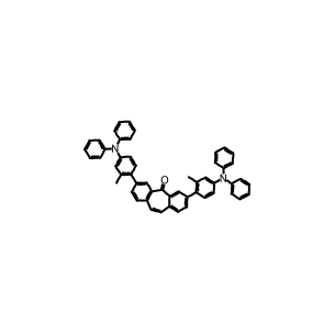 Cc1cc(N(c2ccccc2)c2ccccc2)ccc1-c1ccc2ccc3ccc(-c4ccc(N(c5ccccc5)c5ccccc5)cc4C)cc3c(=O)c2c1